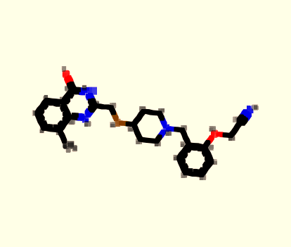 Cc1cccc2c(=O)[nH]c(CSC3CCN(Cc4ccccc4OCC#N)CC3)nc12